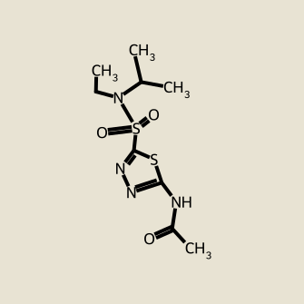 CCN(C(C)C)S(=O)(=O)c1nnc(NC(C)=O)s1